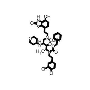 C[C@@H](C(=O)C(CN(CCc1ccc(O)c2[nH]c(=O)sc12)C(=O)O)NC1CCOCC1)N(CCc1ccc(Cl)c(Cl)c1)C(=O)OCc1ccccc1